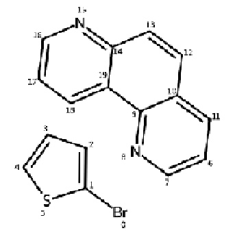 Brc1cccs1.c1cnc2c(c1)ccc1ncccc12